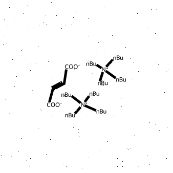 CCCC[N+](CCCC)(CCCC)CCCC.CCCC[N+](CCCC)(CCCC)CCCC.O=C([O-])C=CC(=O)[O-]